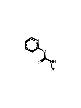 O=C(NBr)Oc1ccccn1